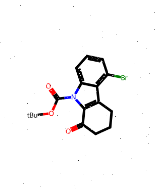 CC(C)(C)OC(=O)n1c2c(c3c(Br)cccc31)CCCC2=O